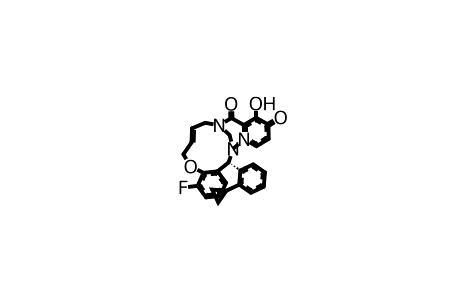 O=C1c2c(O)c(=O)ccn2N2CN1C/C=C/COc1c(F)cccc1[C@H]2c1ccccc1C1CC1